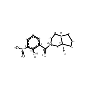 O=C(c1cccc([N+](=O)[O-])c1O)N1CCN2CCC[C@H]2C1